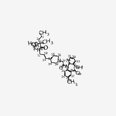 CCCC(C)(C)C(=O)N(CC)CCCC1CCN(CC(=O)N2c3ccc(C)cc3C(=O)Nc3cccnc32)CC1